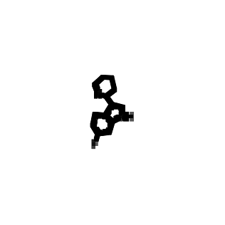 Fc1ccc2c(C3CCCC=N3)c[nH]c2c1